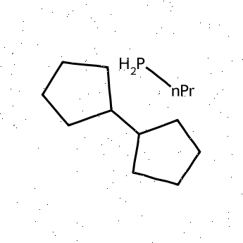 C1CCC(C2CCCC2)C1.CCCP